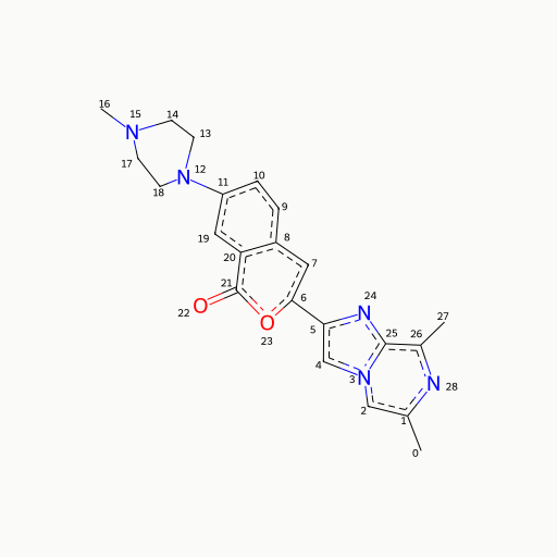 Cc1cn2cc(-c3cc4ccc(N5CCN(C)CC5)cc4c(=O)o3)nc2c(C)n1